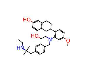 CCNC(C)(C)Cc1ccc(CN(CCO)c2cc(OC)ccc2[C@@H]2CCc3cc(O)ccc3C2)cc1